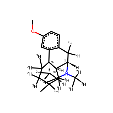 [2H]C1([2H])c2ccc(OC)cc2[C@@]23C([2H])([2H])C([2H])([2H])N(C([2H])([2H])[2H])[C@@H]1[C@@]2([2H])C([2H])([2H])C([2H])(C)C([2H])([2H])C3([2H])[2H]